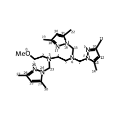 COCCN(CCN(Cn1nc(C)cc1C)Cn1nc(C)cc1C)Cn1nc(C)cc1C